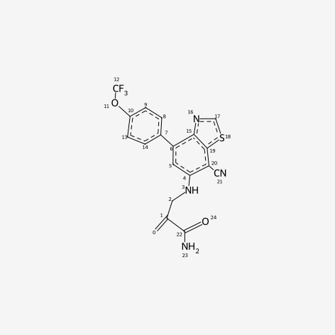 C=C(CNc1cc(-c2ccc(OC(F)(F)F)cc2)c2ncsc2c1C#N)C(N)=O